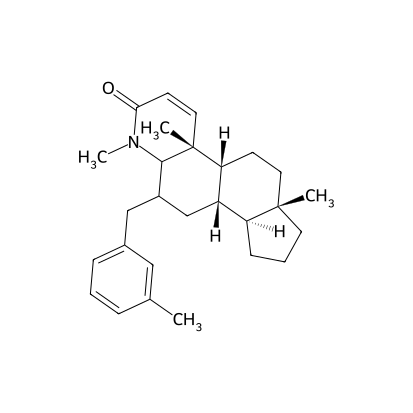 Cc1cccc(CC2C[C@@H]3[C@@H](CC[C@]4(C)CCC[C@@H]34)[C@@]3(C)C=CC(=O)N(C)C23)c1